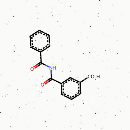 O=C(O)c1cccc(C(=O)NC(=O)c2ccccc2)c1